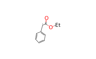 CCOC(=O)[CH]c1ccccc1